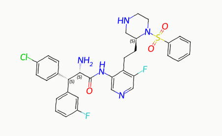 N[C@H](C(=O)Nc1cncc(F)c1CC[C@H]1CNCCN1S(=O)(=O)c1ccccc1)[C@@H](c1ccc(Cl)cc1)c1cccc(F)c1